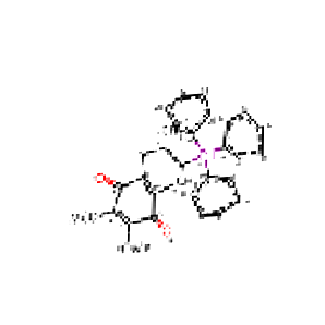 COC1=C(OC)C(=O)C(CC(C)C[PH](c2ccccc2)(c2ccccc2)c2ccccc2)=C(C)C1=O